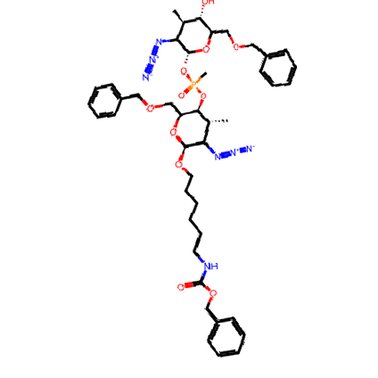 C[C@@H]1C(N=[N+]=[N-])[C@@H](OP(C)(=O)O[C@@H]2C(COCc3ccccc3)O[C@H](OCCCCCCNC(=O)OCc3ccccc3)C(N=[N+]=[N-])[C@H]2C)OC(COCc2ccccc2)[C@H]1O